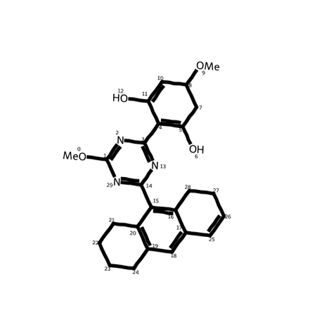 COc1nc(C2=C(O)CC(OC)C=C2O)nc(-c2c3c(cc4c2CCCC4)C=CCC3)n1